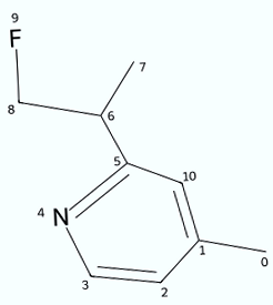 Cc1ccnc(C(C)CF)c1